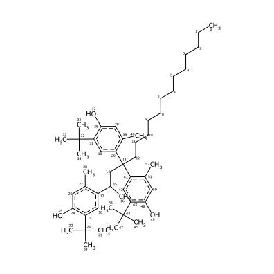 CCCCCCCCCCCCCC(CC(C)c1cc(C(C)(C)C)c(O)cc1C)(c1cc(C(C)(C)C)c(O)cc1C)c1cc(C(C)(C)C)c(O)cc1C